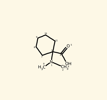 CN(C)C1(C(=O)O)CCCCC1